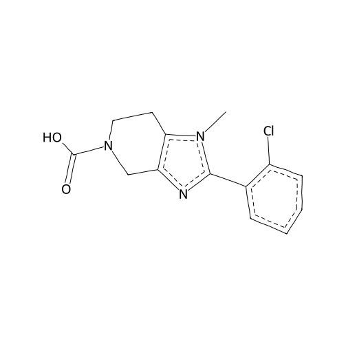 Cn1c(-c2ccccc2Cl)nc2c1CCN(C(=O)O)C2